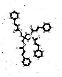 O=C(/C=C/c1ccccc1)OCC(COC(=O)/C=C/c1ccccc1)(COC(=O)/C=C/c1ccccc1)COC(=O)/C=C/c1ccccc1